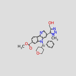 COC(=O)c1ccc2c3ncc(-c4c(CO)nnn4C)cc3n([C@H](c3ccccc3)C3CCOCC3)c2c1